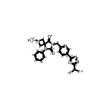 CN1CC2(C1)C(=O)N(Cc1ccc(-c3nnc(C(F)F)o3)cn1)C(=O)N2c1ccccc1